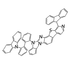 c1ccc2c(c1)-c1ccccc1C2c1nccc2c1sc1c2ccc2c1nc1n(-c3ccccc3-c3ccccc3-n3c4ccccc4c4ccccc43)c3ccccc3n21